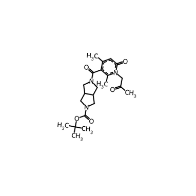 CC(=O)Cn1c(C)c(C(=O)N2CC3CN(C(=O)OC(C)(C)C)CC3C2)c(C)cc1=O